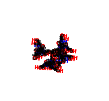 CC(=O)N(CC(O)COCC(COCC(O)CN(C(C)=O)c1c(I)c(C(=O)NCC(O)CO)c(I)c(C(=O)NCC(O)CO)c1I)(COCC(O)CN(C(C)=O)c1c(I)c(C(=O)NCC(O)CO)c(I)c(C(=O)NCC(O)CO)c1I)COCC(O)CN(C(C)=O)c1c(I)c(C(=O)NCC(O)CO)c(I)c(C(=O)NCC(O)CO)c1I)c1c(I)c(C(=O)NCC(O)CO)c(I)c(C(=O)NCC(O)CO)c1I